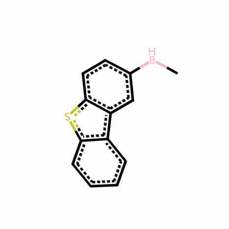 CBc1ccc2sc3ccccc3c2c1